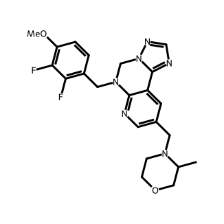 COc1ccc(CN2Cn3ncnc3-c3cc(CN4CCOCC4C)cnc32)c(F)c1F